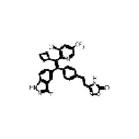 O=c1[nH]c(C=Cc2ccc(C(=C(c3ncc(C(F)(F)F)cc3Cl)C3CCC3)c3ccc4[nH]nc(F)c4c3)cc2)no1